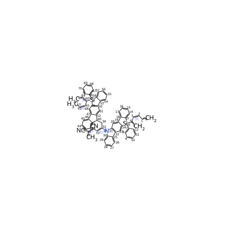 C=C/C=C\C(=C)[Si]1(c2ccccc2)c2ccccc2-c2cc3c(cc21)c1ccccc1n3/C(=C/C(C#N)=C(\C)C#N)CC1c2ccccc2-c2cc3c(cc21)-c1ccccc1[Si]3(C(/C=C\C)=C/C)c1ccccc1